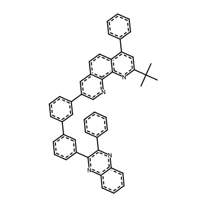 CC(C)(C)c1cc(-c2ccccc2)c2ccc3cc(-c4cccc(-c5cccc(-c6nc7ccccc7nc6-c6ccccc6)c5)c4)cnc3c2n1